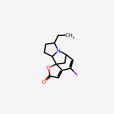 CCC1CCC2N1C1C=C(I)C3=CC(=O)OC32C1